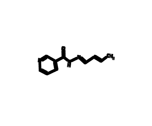 CC=CC=NNC(=O)c1cccnc1